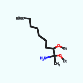 CCCCCCCCCCCCCCCCC(OCC)C(C)(N)OCC